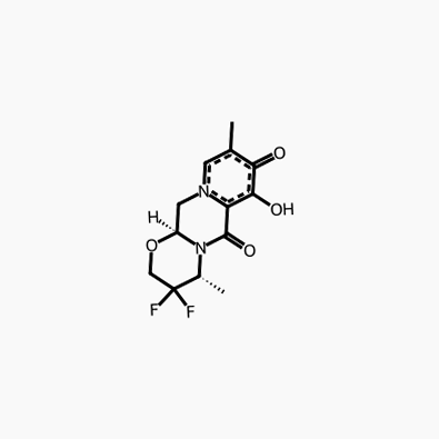 Cc1cn2c(c(O)c1=O)C(=O)N1[C@H](C2)OCC(F)(F)[C@H]1C